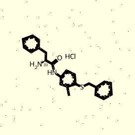 Cc1cc(NC(=O)[C@@H](N)Cc2ccccc2)ccc1SCc1ccccc1.Cl